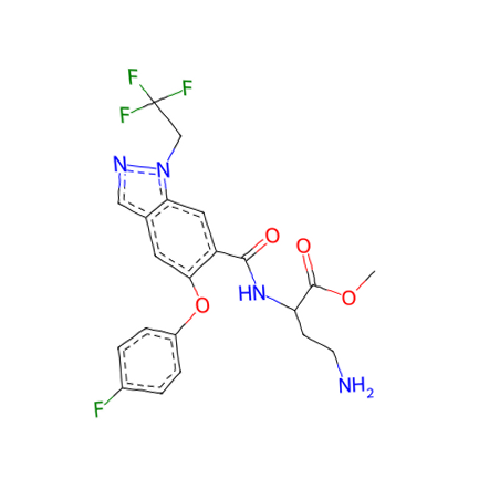 COC(=O)C(CCN)NC(=O)c1cc2c(cnn2CC(F)(F)F)cc1Oc1ccc(F)cc1